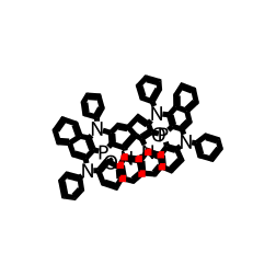 O=P12c3c4cccc3N(c3ccccc3)c3c1c(cc1cc5c6c(c31)N(c1ccccc1)c1cccc3c1P6(=O)c1c(cc6ccccc6c1N5c1ccccc1)N3c1ccccc1)N(c1ccccc1)c1c2c(cc2ccccc12)N4c1ccccc1